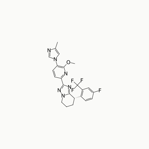 COc1nc(-c2nc3n(n2)CCC[C@H]3c2ccc(F)cc2C(F)(F)F)ccc1-n1cnc(C)c1